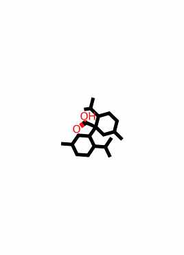 CC1CCC(C(C)C)C(C2(C(=O)O)CC(C)CCC2C(C)C)C1